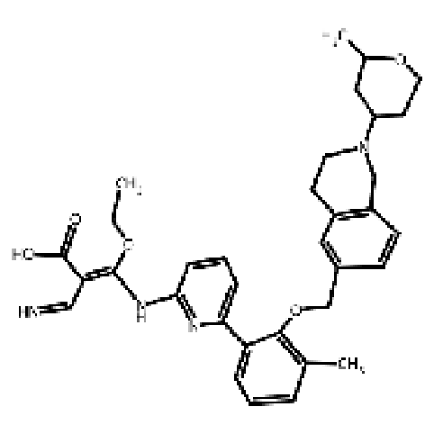 CCO/C(Nc1cccc(-c2cccc(C)c2OCc2ccc3c(c2)CCN(C2CCOC(C)C2)C3)n1)=C(/C=N)C(=O)O